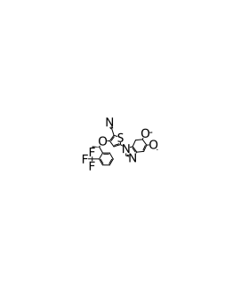 COC1=Cc2ncn(-c3cc(O[C@H](C)c4ccccc4C(F)(F)F)c(C#N)s3)c2CC1OC